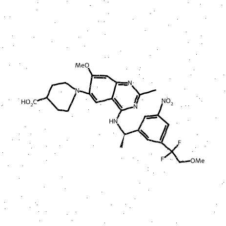 COCC(F)(F)c1cc([C@@H](C)Nc2nc(C)nc3cc(OC)c(N4CCC(C(=O)O)CC4)cc23)cc([N+](=O)[O-])c1